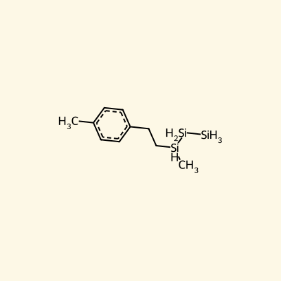 Cc1ccc(CC[SiH](C)[SiH2][SiH3])cc1